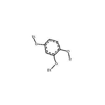 CCOc1c[c]c(OCC)c(OCC)c1